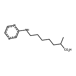 CC(CCCCCNc1cnccn1)C(=O)O